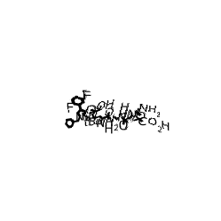 CC(C)(C)[C@H](c1cc(-c2cc(F)ccc2F)cn1Cc1ccccc1)N(CC[C@H](N)C(=O)NCCNC(=O)[C@@H](CCC(=O)O)NC(=O)CN)C(=O)CO